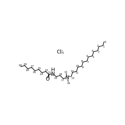 CCCCCCCCCCCCCC[N+](C)(C)CCCNC(=O)CCCCCCCC.[Cl-]